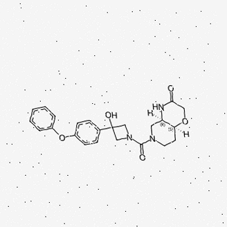 O=C1CO[C@H]2CCN(C(=O)N3CC(O)(c4ccc(Oc5ccccc5)cc4)C3)C[C@H]2N1